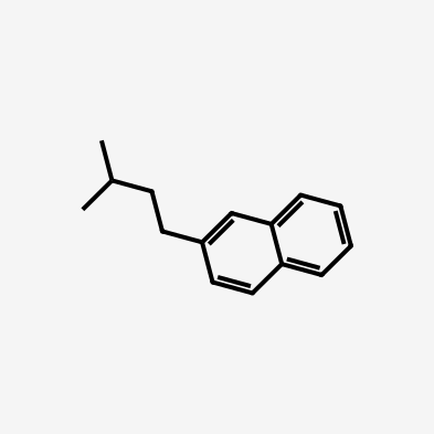 CC(C)CCc1ccc2ccccc2c1